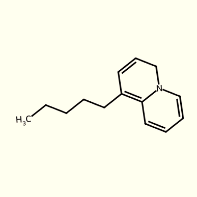 CCCCCC1=C2C=CC=CN2CC=C1